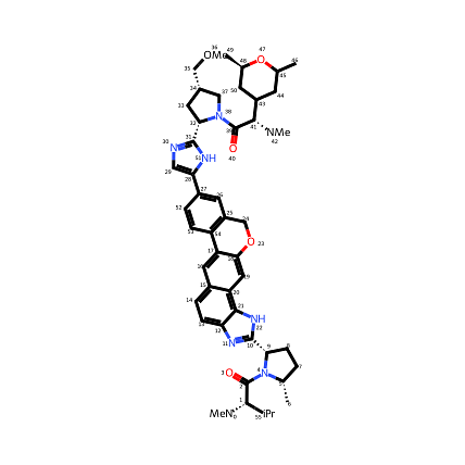 CN[C@H](C(=O)N1[C@@H](C)CC[C@H]1c1nc2ccc3cc4c(cc3c2[nH]1)OCc1cc(-c2cnc([C@@H]3C[C@H](COC)CN3C(=O)[C@@H](NC)C3CC(C)O[C@H](C)C3)[nH]2)ccc1-4)C(C)C